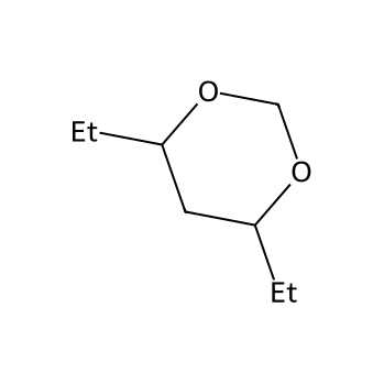 CCC1CC(CC)OCO1